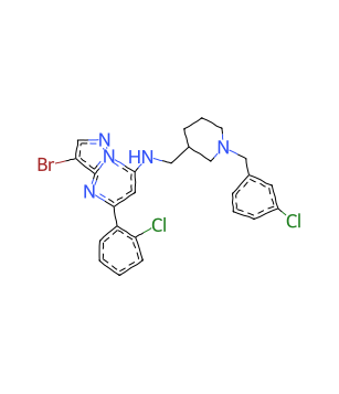 Clc1cccc(CN2CCCC(CNc3cc(-c4ccccc4Cl)nc4c(Br)cnn34)C2)c1